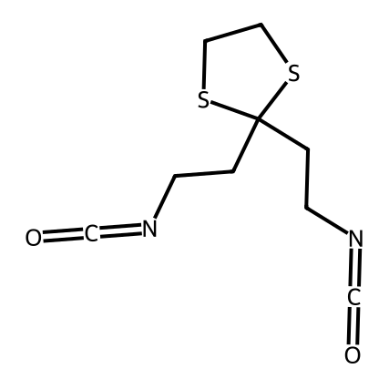 O=C=NCCC1(CCN=C=O)SCCS1